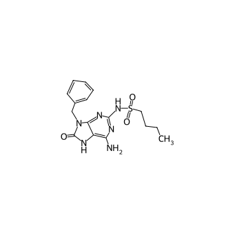 CCCCS(=O)(=O)Nc1nc(N)c2[nH]c(=O)n(Cc3ccccc3)c2n1